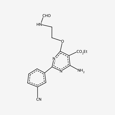 CCOC(=O)c1c(N)nc(-c2cccc(C#N)c2)nc1OCCNC=O